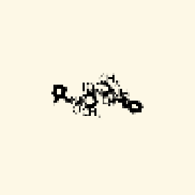 CC(C)CC(NC(=O)c1cc2ccccc2o1)C(=O)N[C@H]1CC[C@@H](C)N(C(=O)NCc2ccccc2F)CC1=O